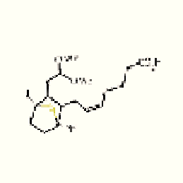 COC(C[C@H]1[C@@H](C/C=C\CCCC(=O)O)[C@H]2CC[C@@H]1S2)OC